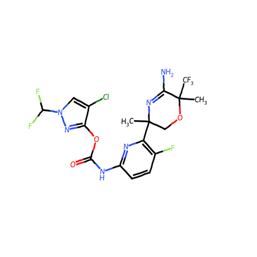 CC1(c2nc(NC(=O)Oc3nn(C(F)F)cc3Cl)ccc2F)COC(C)(C(F)(F)F)C(N)=N1